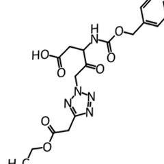 CCOC(=O)Cc1nnn(CC(=O)C(CC(=O)O)NC(=O)OCc2ccccc2)n1